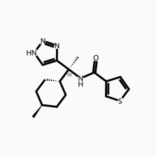 C[C@@](NC(=O)c1ccsc1)(c1c[nH]nn1)[C@H]1CC[C@H](C)CC1